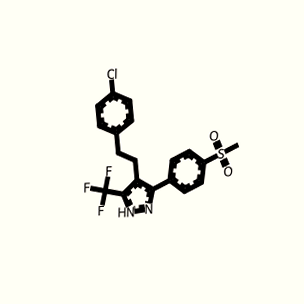 CS(=O)(=O)c1ccc(-c2n[nH]c(C(F)(F)F)c2CCc2ccc(Cl)cc2)cc1